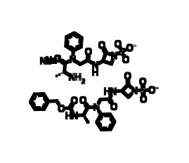 C[C@@H](N)C(=O)N(CC(=O)NC1CN(S(=O)(=O)[O-])C1=O)c1ccccc1.C[C@@H](NC(=O)OCc1ccccc1)C(=O)N(CC(=O)NC1CN(S(=O)(=O)[O-])C1=O)c1ccccc1.[Na+].[Na+]